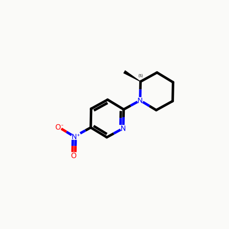 C[C@H]1CCCCN1c1ccc([N+](=O)[O-])cn1